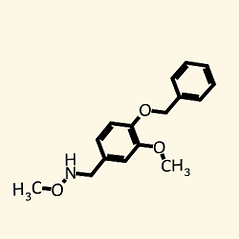 CONCc1ccc(OCc2ccccc2)c(OC)c1